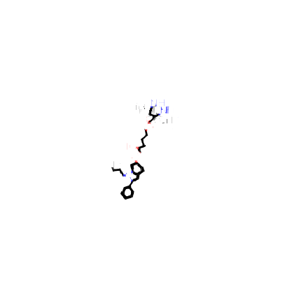 CC(C)CCCn1c(-c2ccccc2)cc2ccc(OCC(O)CCCCOC(=O)C(C)(CC(C)(C)N)C(C)(C)N)cc21